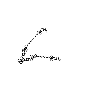 C=CC(=O)OCCCCCCCCCCCOc1cnc(-c2ccc(CO[C@@H]3OCCO[C@H]3OCc3ccc(-c4ncc(OCCCCCCCCCCCOC(=O)C=C)cn4)cc3)cc2)nc1